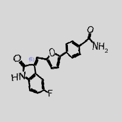 NC(=O)c1ccc(-c2ccc(/C=C3/C(=O)Nc4ccc(F)cc43)o2)cc1